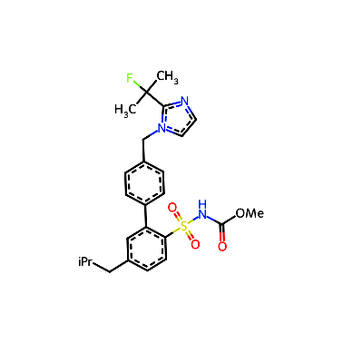 COC(=O)NS(=O)(=O)c1ccc(CC(C)C)cc1-c1ccc(Cn2ccnc2C(C)(C)F)cc1